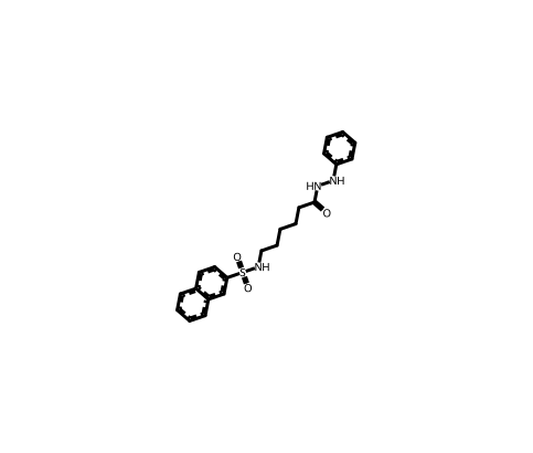 O=C(CCCCCNS(=O)(=O)c1ccc2ccccc2c1)NNc1ccccc1